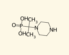 CC(C)(N1CCNCC1)P(=O)(O)O